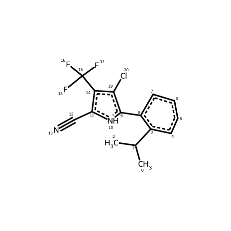 CC(C)c1ccccc1-c1[nH]c(C#N)c(C(F)(F)F)c1Cl